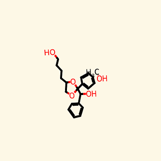 CO.OCCCCC1COC(c2ccccc2)(C(O)c2ccccc2)O1